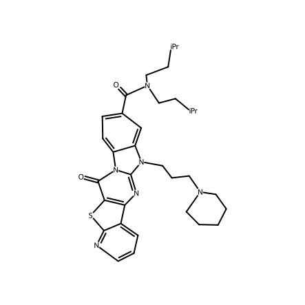 CC(C)CCN(CCC(C)C)C(=O)c1ccc2c(c1)n(CCCN1CCCCC1)c1nc3c(sc4ncccc43)c(=O)n21